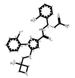 Cc1ccccc1[C@H](CC(=O)O)NC(=O)c1cc(OCC2(C)COC2)n(-c2ccccc2F)n1